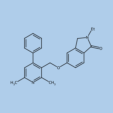 CCN1Cc2cc(OCc3c(-c4ccccc4)cc(C)nc3C)ccc2C1=O